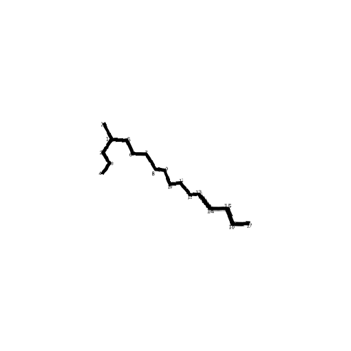 [CH2]C(CCC)CCCCCCCCCCCCC